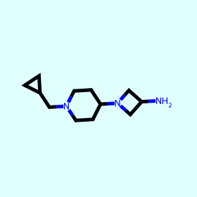 NC1CN(C2CCN(CC3CC3)CC2)C1